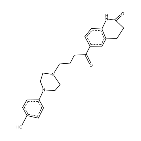 O=C1CCc2cc(C(=O)CCCN3CCN(c4ccc(O)cc4)CC3)ccc2N1